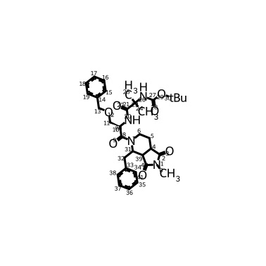 CN1C(=O)C2CCN(C(=O)[C@@H](COCc3ccccc3)NC(=O)C(C)(C)NC(=O)OC(C)(C)C)C(Cc3ccccc3)C2C1=O